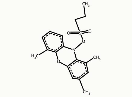 CCCS(=O)(=O)ON1c2cccc(C)c2Oc2cc(C)cc(C)c21